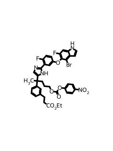 CCOC(=O)CCc1cccc(C(C)(CCCOC(=O)Oc2ccc([N+](=O)[O-])cc2)c2cnc(-c3cc(Oc4c(F)cc5[nH]ccc5c4Br)ccc3F)[nH]2)c1